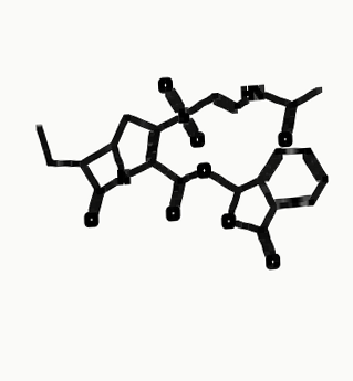 CCC1C(=O)N2C(C(=O)OC3OC(=O)c4ccccc43)=C(S(=O)(=O)C=CNC(C)=O)CC12